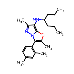 CCCC(CCC)Nc1c(C)nn2c(-c3ccc(C)cc3C)c(C)oc12